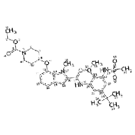 CCOC(=O)N1CCC(Oc2cccc3cc(C(=O)Nc4cc(C(C)(C)C)cc(NS(C)(=O)=O)c4OC)n(C)c23)CC1